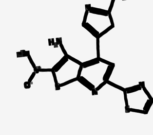 CCCC[S+]([O-])c1sc2nc(-c3nccs3)cc(C3=CN=C(N)C3)c2c1N